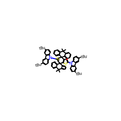 CC(C)(C)c1ccc2c(c1)c1cc(C(C)(C)C)ccc1n2-c1cc2c(s1)C1(c3ccccc3C(C)(C)c3ccccc31)c1cc(-n3c4ccc(C(C)(C)C)cc4c4cc(C(C)(C)C)ccc43)sc1C21c2ccccc2C(C)(C)c2ccccc21